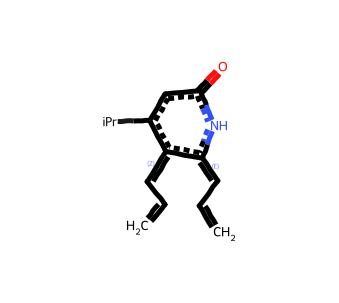 C=C/C=c1/c(C(C)C)cc(=O)[nH]/c1=C/C=C